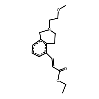 CCOC(=O)C=Cc1cccc2c1CCN(CCOC)C2